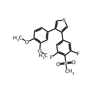 COc1ccc(-c2cscc2-c2cc(F)c(S(C)(=O)=O)c(F)c2)cc1OC